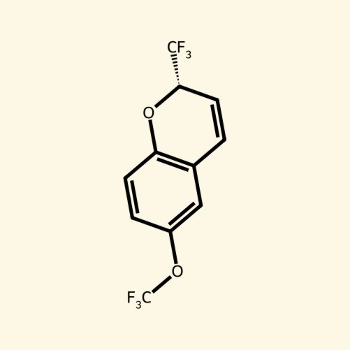 FC(F)(F)Oc1ccc2c(c1)C=C[C@@H](C(F)(F)F)O2